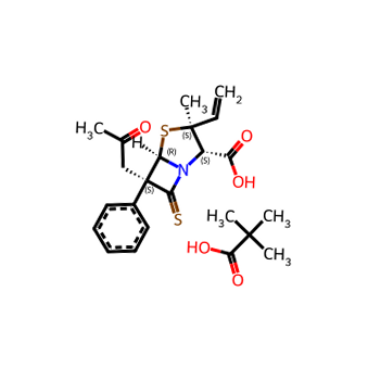 C=C[C@]1(C)S[C@H]2N(C(=S)[C@@]2(CC(C)=O)c2ccccc2)[C@H]1C(=O)O.CC(C)(C)C(=O)O